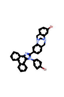 Brc1ccc(-n2c(-c3ccc4c(c3)N3Cc5ccc(Br)cc5N(C4)C3)nc3c4ccccc4c4ccccc4c32)cc1